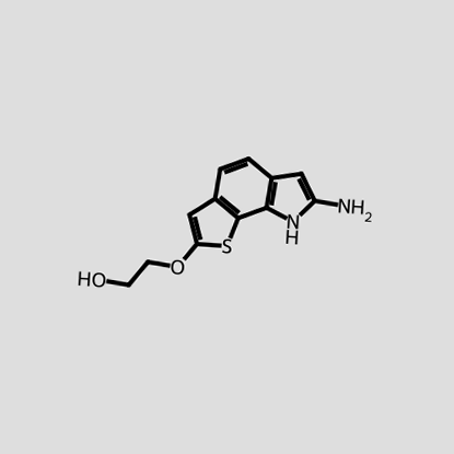 Nc1cc2ccc3cc(OCCO)sc3c2[nH]1